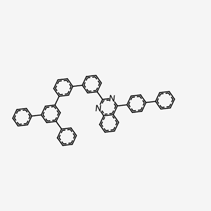 c1ccc(-c2ccc(-c3nc(-c4cccc(-c5cccc(-c6cc(-c7ccccc7)cc(-c7ccccc7)c6)c5)c4)nc4ccccc34)cc2)cc1